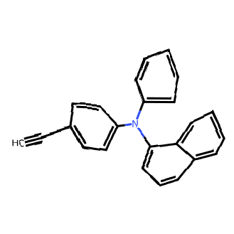 C#Cc1ccc(N(c2ccccc2)c2cccc3ccccc23)cc1